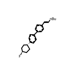 CCCCC=Cc1ccc(-c2ccc([C@H]3CC[C@H](F)CC3)cc2)cc1